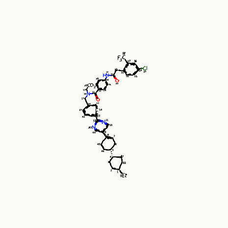 CC[C@H]1CC[C@H](C2CC=C(c3cnc(-c4ccc(CN(CC(=O)O)C(=O)c5ccc(NC(=O)Cc6ccc(Cl)cc6C(F)(F)F)cc5)cc4)nc3)CC2)CC1